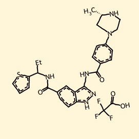 CCC(NC(=O)c1ccc2[nH]nc(NC(=O)c3ccc(N4CCN[C@@H](C)C4)cc3)c2c1)c1cccs1.O=C(O)C(F)(F)F